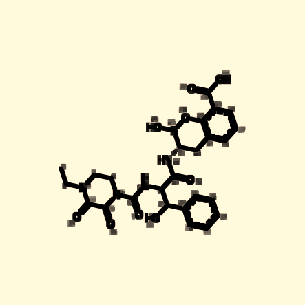 CCN1CCN(C(=O)NC(C(=O)N[C@H]2Cc3cccc(C(=O)O)c3OB2O)C(O)c2ccccc2)C(=O)C1=O